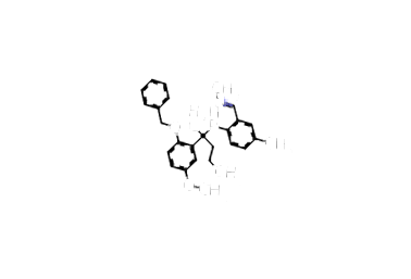 CCCC(C)(Pc1ccc(C)cc1/C=N/C)c1cc(OC)ccc1OCc1ccccc1